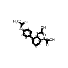 CC(=O)Oc1ccc(C2=CC=C[C@H](CC(=O)O)[C@@H]2CC(=O)O)cc1